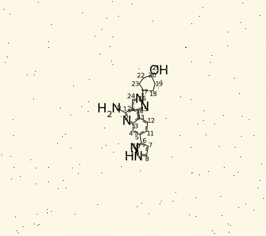 Nc1nc2cc(-c3cc[nH]n3)ccc2c2nn([C@H]3CC[C@@H](O)CC3)cc12